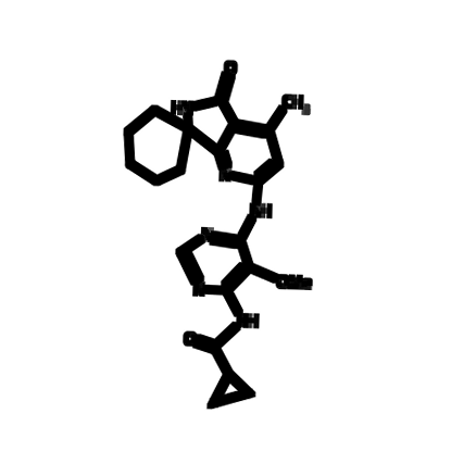 COc1c(NC(=O)C2CC2)ncnc1Nc1cc(C)c2c(n1)C1(CCCCC1)NC2=O